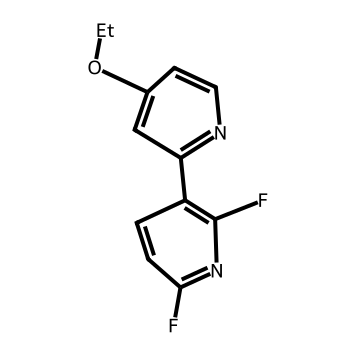 CCOc1ccnc(-c2ccc(F)nc2F)c1